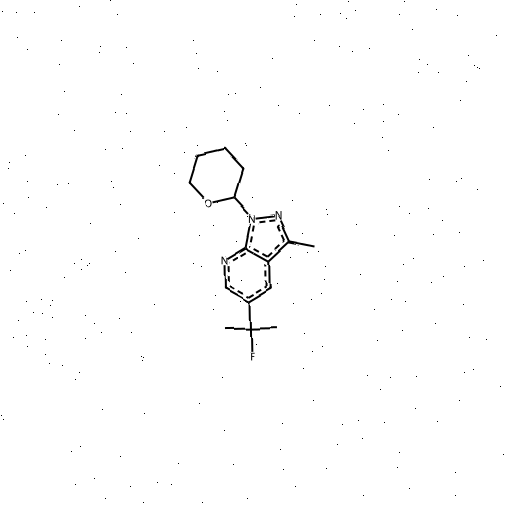 Cc1nn(C2CCCCO2)c2ncc(C(C)(C)F)cc12